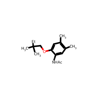 CCC(C)(C)COc1cc(C)c(C)cc1NC(C)=O